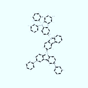 c1ccc(-c2ccc3c(c2)c2cc(-c4ccccc4)ccc2n3-c2ccc3c(c2)c2ccccc2n3-c2ccc([Si](c3ccccc3)(c3ccccc3)c3ccccc3)cc2)cc1